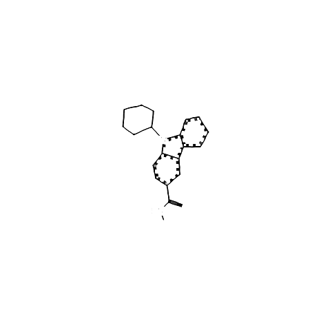 CCCNC(=O)c1ccc2c(c1)c1ccccc1n2C1CCCCC1